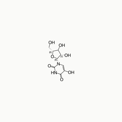 O=c1[nH]c(=O)n([C@@H]2O[C@H](CO)C(O)[C@@H]2O)cc1O